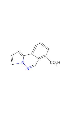 O=C(O)c1cccc2c1cnn1cccc21